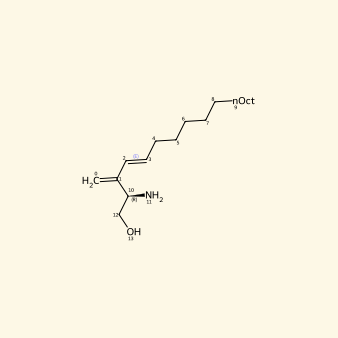 C=C(/C=C/CCCCCCCCCCCCC)[C@@H](N)CO